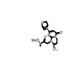 CON(C)C(=O)CN1c2nc(N3CC4CC3CO4)cc(=O)n2CCC1C(F)(F)F